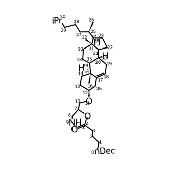 CCCCCCCCCCCCCC(=O)OC(CN)CO[C@H]1CC[C@@]2(C)C(=CC[C@H]3[C@@H]4CC[C@H]([C@H](C)CCCC(C)C)[C@@]4(C)CC[C@@H]32)C1